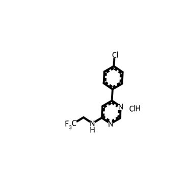 Cl.FC(F)(F)CNc1cc(-c2ccc(Cl)cc2)ncn1